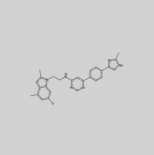 Cc1nc(-c2ccc(-c3cc(NCCn4c(C)cc5c(C)cc(F)cc54)ncn3)cc2)c[nH]1